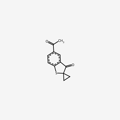 CC(=O)c1ccc2c(c1)C(=O)C1(CC1)S2